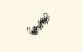 COc1cc2c(Nc3ccc(NC(=O)c4cccc(Cl)c4)nc3)ncnc2cc1OCCCN(C)CCOP(=O)(O)O